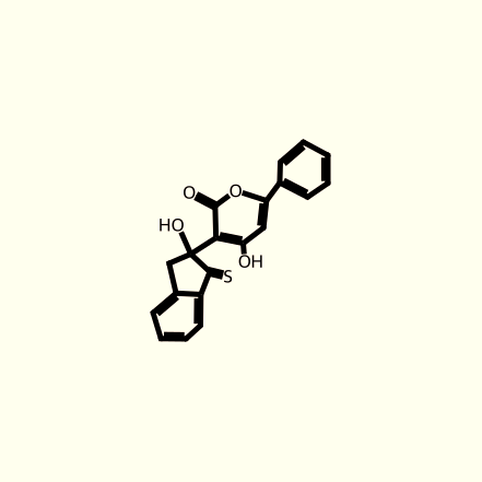 O=c1oc(-c2ccccc2)cc(O)c1C1(O)Cc2ccccc2C1=S